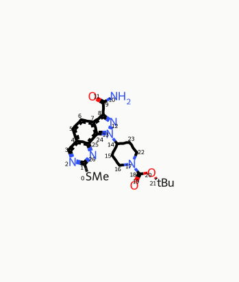 CSc1ncc2ccc3c(C(N)=O)nn(C4CCN(C(=O)OC(C)(C)C)CC4)c3c2n1